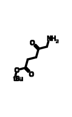 CC(C)(C)OC(=O)CCC(=O)CN